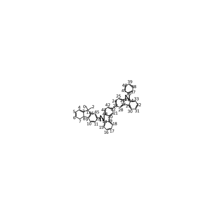 CC1(C)C2=CC=CCC2c2ccc(-n3c4ccccc4c4cc(-c5ccc6c(c5)c5ccccc5n6-c5ccccc5)ccc43)cc21